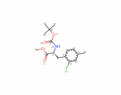 COC(=O)[C@H](Cc1ccc(C)cc1F)NC(=O)OC(C)(C)C